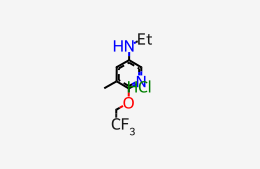 CCNc1cnc(OCC(F)(F)F)c(C)c1.Cl